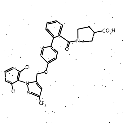 O=C(O)C1CCN(C(=O)c2ccccc2-c2ccc(OCc3cc(C(F)(F)F)nn3-c3c(Cl)cccc3Cl)cc2)CC1